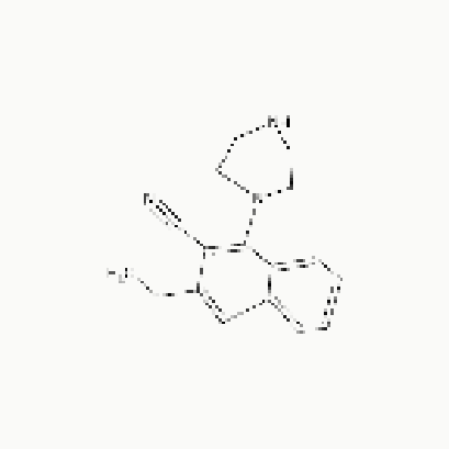 CCc1cc2ccccc2c(N2CCNCC2)c1C#N